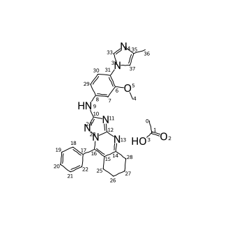 CC(=O)O.COc1cc(Nc2nc3nc4c(c(-c5ccccc5)n3n2)CCCC4)ccc1-n1cnc(C)c1